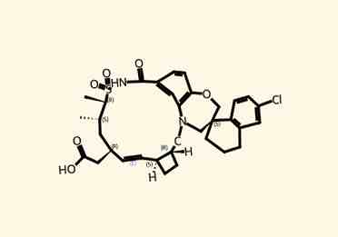 C[C@@H]1[C@@H](C)C[C@H](CC(=O)O)/C=C/[C@@H]2CC[C@H]2CN2C[C@@]3(CCCc4cc(Cl)ccc43)COc3ccc(cc32)C(=O)NS1(=O)=O